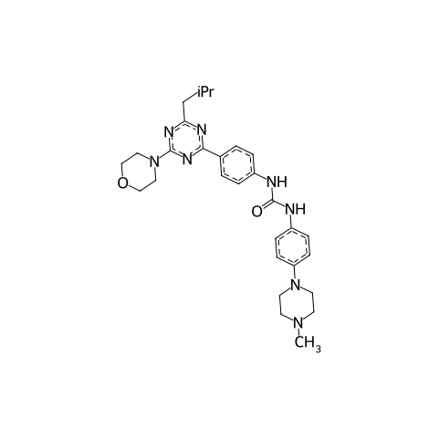 CC(C)Cc1nc(-c2ccc(NC(=O)Nc3ccc(N4CCN(C)CC4)cc3)cc2)nc(N2CCOCC2)n1